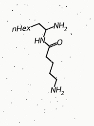 CCCCCCCC(N)NC(=O)CCCCN